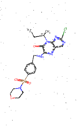 CC[C@@H](C)n1c(=O)c(NCc2ccc(S(=O)(=O)N3CCOCC3)cc2)nc2cnc(Cl)nc21